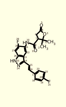 CC1(C)OC(=O)CC1C(=O)Nc1cc2c(/C=C/c3ccc(F)cc3)n[nH]c2cc1F